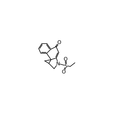 CCS(=O)(=O)N1CC2CC23C1=CC(=O)c1ccccc13